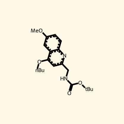 CCCCOc1cc(CNC(=O)OC(C)(C)C)nc2ccc(OC)cc12